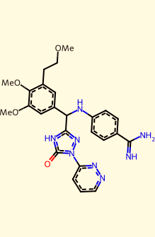 COCCc1cc(C(Nc2ccc(C(=N)N)cc2)c2nn(-c3cccnn3)c(=O)[nH]2)cc(OC)c1OC